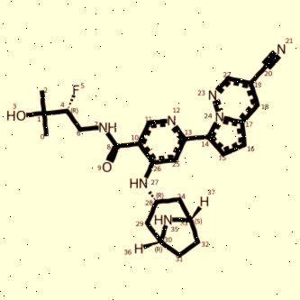 CC(C)(O)[C@H](F)CNC(=O)c1cnc(-c2ccc3cc(C#N)cnn23)cc1N[C@H]1C[C@H]2CC[C@@H](C1)N2